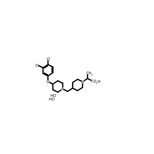 CC(C(=O)O)N1CCC(CN2CCC(Oc3ccc(Cl)c(Cl)c3)CC2)CC1.Cl.Cl